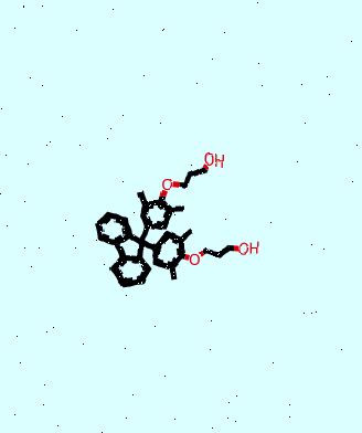 Cc1cc(C2(c3cc(C)c(OCCCO)c(C)c3)c3ccccc3-c3ccccc32)cc(C)c1OCCCO